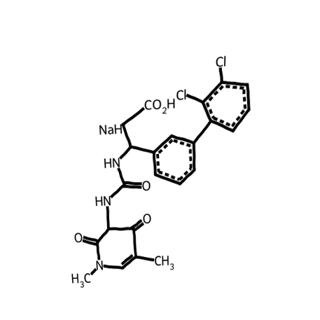 CC1=CN(C)C(=O)C(NC(=O)NC(CC(=O)O)c2cccc(-c3cccc(Cl)c3Cl)c2)C1=O.[NaH]